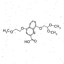 COCCOc1cc(C(=O)O)nc2c(OCC(OC)OC)cccc12